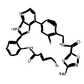 CC(C)(C)c1noc(C(=O)NCc2ccc(-c3ccnc4[nH]c(-c5ccccc5NC(=O)/C=C/CBr)nc34)cc2F)n1